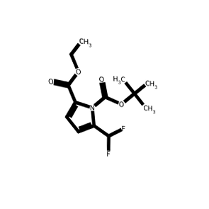 CCOC(=O)c1ccc(C(F)F)n1C(=O)OC(C)(C)C